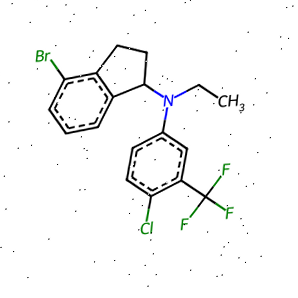 CCN(c1ccc(Cl)c(C(F)(F)F)c1)C1CCc2c(Br)cccc21